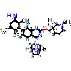 Cc1cc(N)c(C#N)c(-c2c(F)cc3c(N4C[C@H]5CC[C@@H](C4)N5)nc(OC[C@@]4(C)CCCN(C)C4)nc3c2F)c1C(F)(F)F